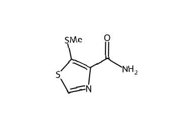 CSc1scnc1C(N)=O